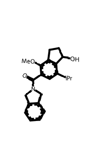 COc1c(C(=O)N2Cc3ccccc3C2)cc(C(C)C)c2c1CCC2O